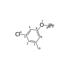 Cc1cc(Cl)cc(OC(C)C)c1